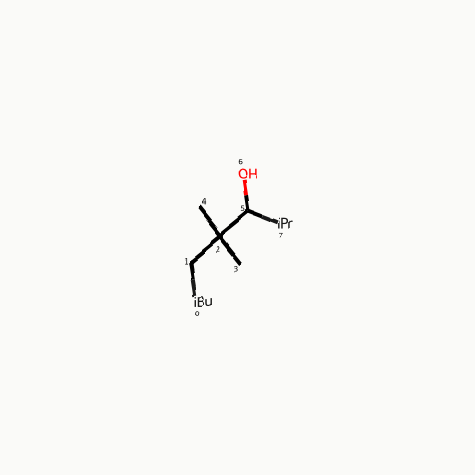 CCC(C)CC(C)(C)C(O)C(C)C